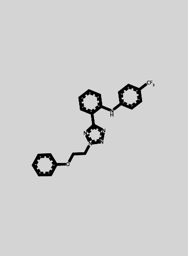 FC(F)(F)c1ccc(Nc2ccccc2-c2nnn(CCOc3ccccc3)n2)cc1